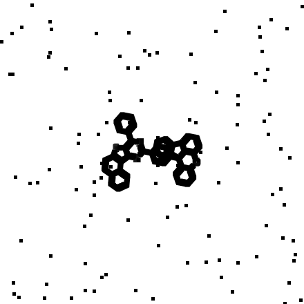 c1ccc(-c2nc(-c3ccc(C45c6ccccc6Oc6cccc(c64)-c4ccccc45)cc3)nc3c2sc2ccc4ccccc4c23)cc1